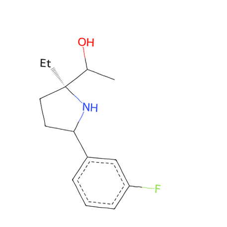 CC[C@@]1(C(C)O)CCC(c2cccc(F)c2)N1